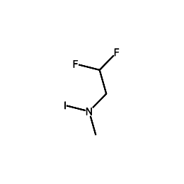 CN(I)CC(F)F